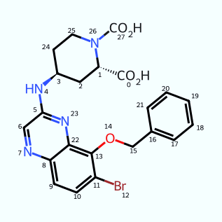 O=C(O)[C@@H]1C[C@@H](Nc2cnc3ccc(Br)c(OCc4ccccc4)c3n2)CCN1C(=O)O